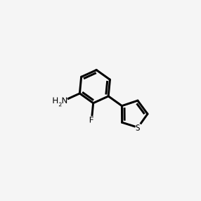 Nc1cccc(-c2ccsc2)c1F